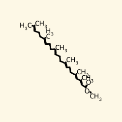 CCOC(=O)/C=C(C)/C=C(\C)CC/C=C(\C)CC/C=C(\C)CC/C=C(\C)CCC=C(C)C